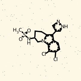 CS(=O)(=O)NC1CCc2c(-c3cn[nH]c3)c3ccc(Cl)c(Cl)c3n2C1